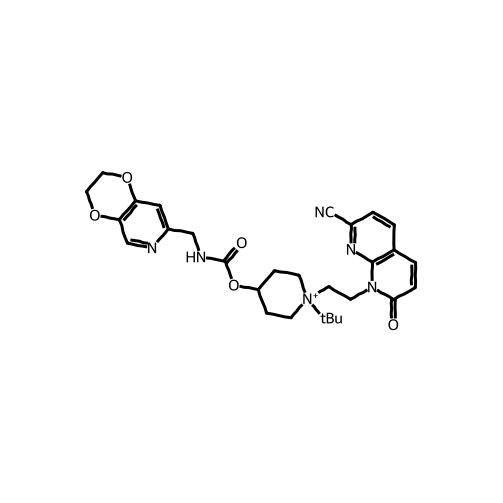 CC(C)(C)[N+]1(CCn2c(=O)ccc3ccc(C#N)nc32)CCC(OC(=O)NCc2cc3c(cn2)OCCO3)CC1